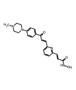 CN1CCN(c2ccc(C(=O)C=Cc3cccc(C=CC(=O)NO)n3)cc2)CC1